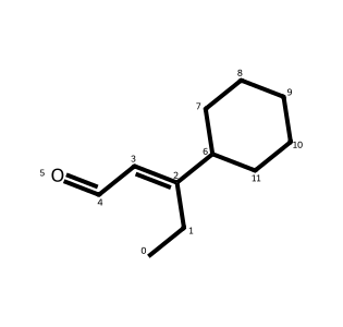 CC/C(=C\C=O)C1CCCCC1